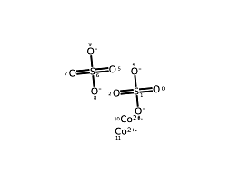 O=S(=O)([O-])[O-].O=S(=O)([O-])[O-].[Co+2].[Co+2]